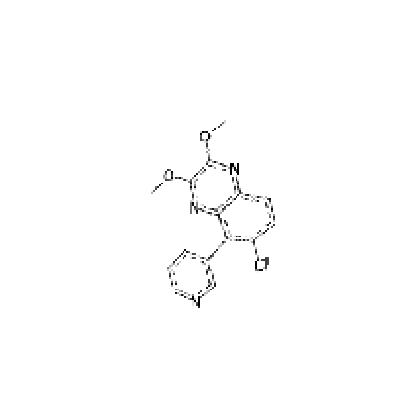 COc1nc2ccc(Cl)c(-c3cccnc3)c2nc1OC